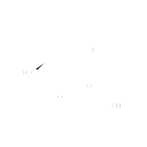 CCOC(=O)[C@H]1C(I)CC[C@@H]1C